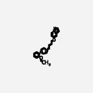 CCOc1ccccc1N1CCN(CCCCOc2ccn3nccc3c2)CC1